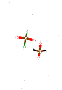 CS(C)(=O)=O.O=S(=O)(Cl)Cl